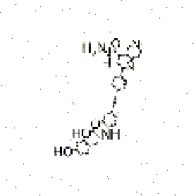 NNC(=O)c1cc(-c2ccc(C#Cc3ccc(NC(Cc4ccc(O)cc4)C(=O)O)cc3)cc2)nc2ccncc12